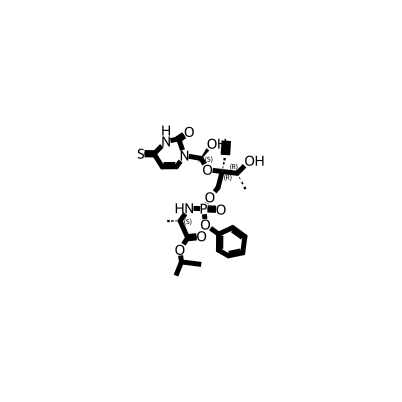 C#C[C@](COP(=O)(N[C@@H](C)C(=O)OC(C)C)Oc1ccccc1)(O[C@H](O)n1ccc(=S)[nH]c1=O)[C@@H](C)O